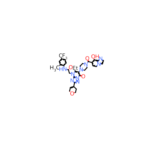 CCc1c(N2CCN(C(=O)c3ccn4ccnc4c3O)CC2)c(=O)n2nc(C3=CCOCC3)nc2n1CC(=O)Nc1ccc(C(F)(F)F)cc1C